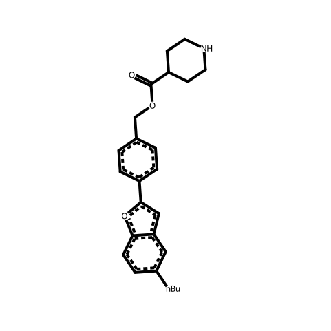 CCCCc1ccc2oc(-c3ccc(COC(=O)C4CCNCC4)cc3)cc2c1